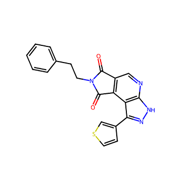 O=C1c2cnc3[nH]nc(-c4ccsc4)c3c2C(=O)N1CCc1ccccc1